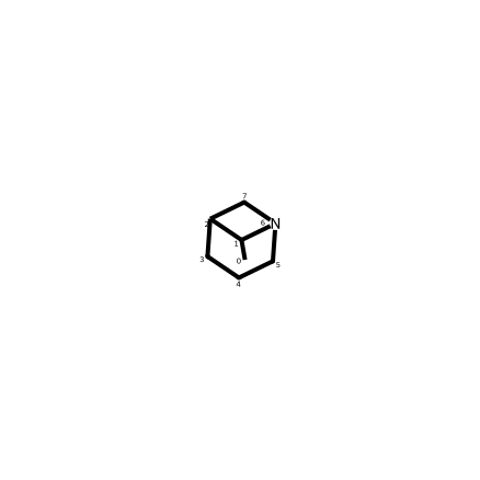 CC1C2CCCN1C2